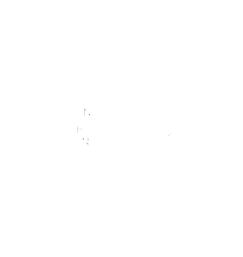 c1ccc2c(c1)B1N(c3ccccc3-2)c2cc(-c3cccc4c3sc3ccccc34)cc3c4ccccc4n1c23